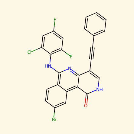 O=c1[nH]cc(C#Cc2ccccc2)c2nc(Nc3c(F)cc(F)cc3Cl)c3ccc(Br)cc3c12